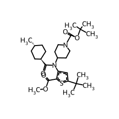 COC(=O)c1sc(C(C)(C)C)cc1N(C(=O)[C@H]1CC[C@H](C)CC1)C1CCN(C(=O)OC(C)(C)C)CC1